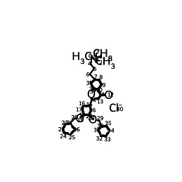 C[N+](C)(C)CCCc1ccc2c(=O)cc(-c3ccc(OCc4ccccc4)c(OCc4ccccc4)c3)oc2c1.[Cl-]